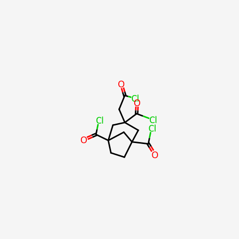 O=C(Cl)CC1(C(=O)Cl)CC2(C(=O)Cl)CCC(C(=O)Cl)(C2)C1